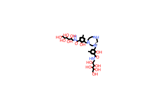 Cc1cc(CN2CCCNCCCN(Cc3cc(C)cc(C(=O)NCC(O)C(O)C(O)C(O)CO)c3O)CC2)c(O)c(C(=O)NCC(O)C(O)C(O)C(O)CO)c1